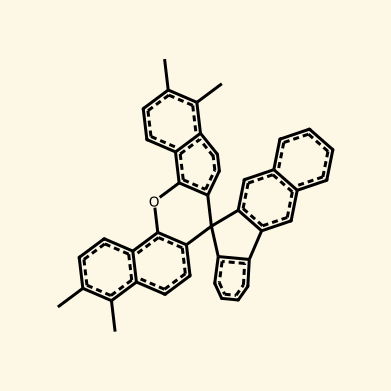 Cc1ccc2c3c(ccc2c1C)C1(c2ccccc2-c2cc4ccccc4cc21)c1ccc2c(C)c(C)ccc2c1O3